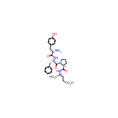 N[C@@H](Cc1ccc(O)cc1)C(=O)N[C@@H](Cc1ccccc1)C(=O)N1CCC[C@H]1C(=O)N[C@@H](CCC(=O)O)C(=O)O